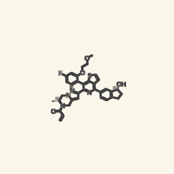 C=CC(=O)N1Cc2cc(-c3nc(-c4ccc5c(c4)[C@H](O)CC5)c4ccsc4c3-c3c(F)cc(F)cc3OCCOC)nn2C[C@H]1C